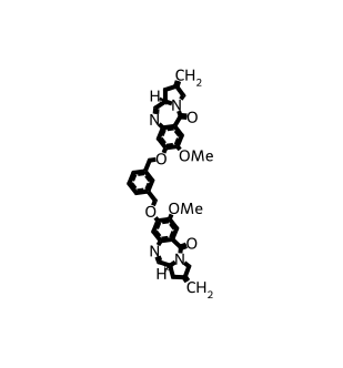 C=C1C[C@H]2C=Nc3cc(OCc4cccc(COc5cc6c(cc5OC)C(=O)N5CC(=C)C[C@H]5C=N6)c4)c(OC)cc3C(=O)N2C1